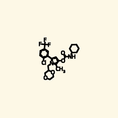 Cc1c(OC(=O)NC2CCCCC2)cc(-c2cc(C(F)(F)F)ccc2Cl)n1CC1COCCO1